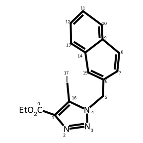 CCOC(=O)c1nnn(Cc2ccc3ccccc3c2)c1I